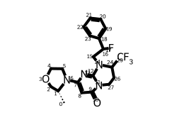 C[C@@H]1COCCN1c1cc(=O)n2c(n1)N(CC(F)c1ccccc1)C(C(F)(F)F)CC2